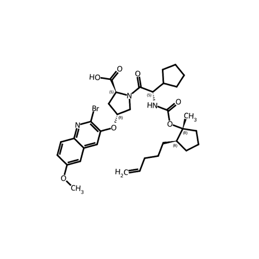 C=CCCC[C@@H]1CCC[C@@]1(C)OC(=O)N[C@H](C(=O)N1C[C@H](Oc2cc3cc(OC)ccc3nc2Br)C[C@H]1C(=O)O)C1CCCC1